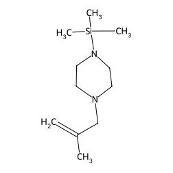 C=C(C)CN1CCN([Si](C)(C)C)CC1